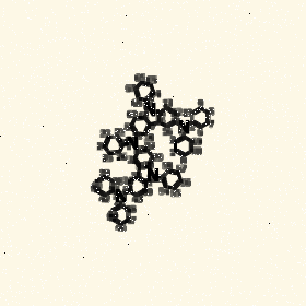 c1ccc(N(c2ccccc2)c2ccc3c(c2)c2cc(N(c4ccccc4)c4ccc5c(c4)c4cc(N(c6ccccc6)c6ccccc6)ccc4n5-c4ccccc4)ccc2n3-c2ccccc2)cc1